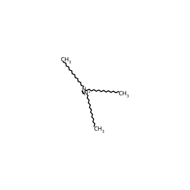 CCCCCCCCCCCCCCCn1cc[n+](CCCCCCCCCCCCCCC)c1CCCCCCCCCCCCCC